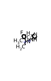 C=C/C=C(\N=C(/C)Nc1ccncc1)c1ccc(F)cc1C